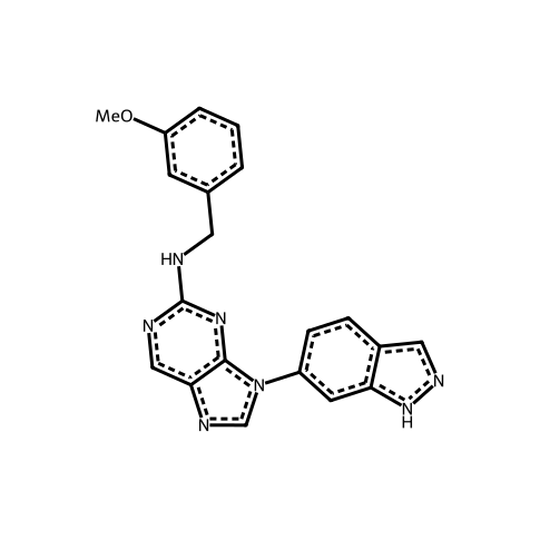 COc1cccc(CNc2ncc3ncn(-c4ccc5cn[nH]c5c4)c3n2)c1